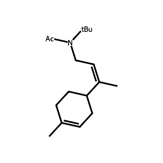 CC(=O)N(C/C=C(/C)C1CC=C(C)CC1)C(C)(C)C